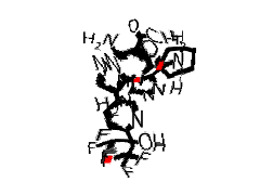 CC(=O)c1c([C@@H]2C[C@H]3CC[C@@H](C2)N3C(=O)c2nnc(N)[nH]2)nc2c(-c3ccc(C(O)(C(F)(F)F)C(F)(F)F)nc3)cnn2c1N